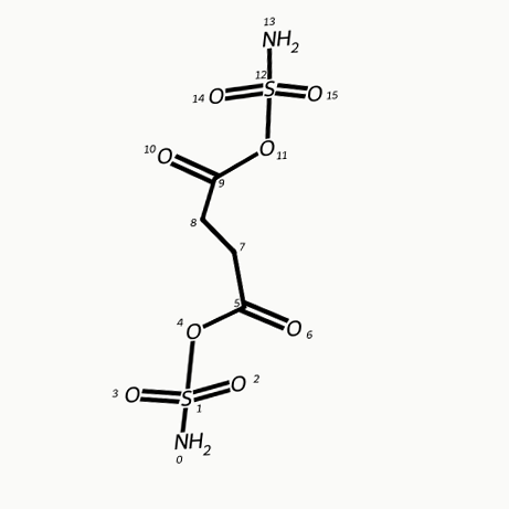 NS(=O)(=O)OC(=O)CCC(=O)OS(N)(=O)=O